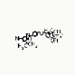 CC(C)c1cc(C#N)cc2nc(-c3ccc(COCC4CCN(C(=O)O)C(C(C)(C)C)C4)cc3)oc12